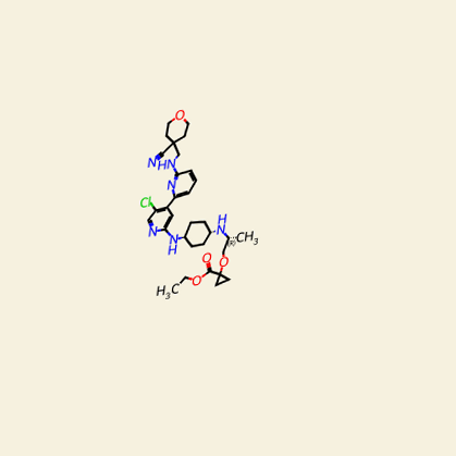 CCOC(=O)C1(OC[C@@H](C)N[C@H]2CC[C@H](Nc3cc(-c4cccc(NCC5(C#N)CCOCC5)n4)c(Cl)cn3)CC2)CC1